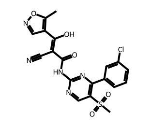 Cc1oncc1/C(O)=C(\C#N)C(=O)Nc1ncc(S(C)(=O)=O)c(-c2cccc(Cl)c2)n1